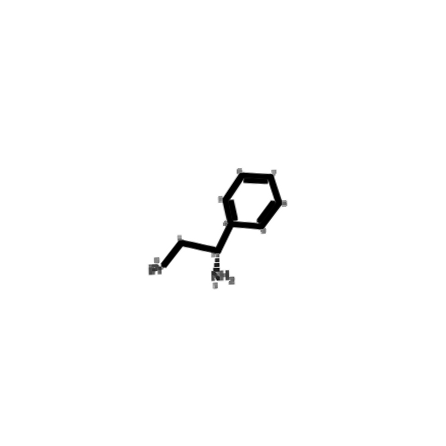 CC(C)C[C@@H](N)c1ccccc1